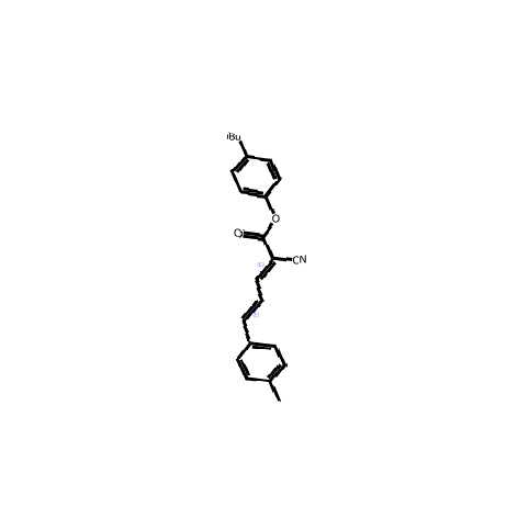 CCC(C)c1ccc(OC(=O)/C(C#N)=C/C=C/c2ccc(C)cc2)cc1